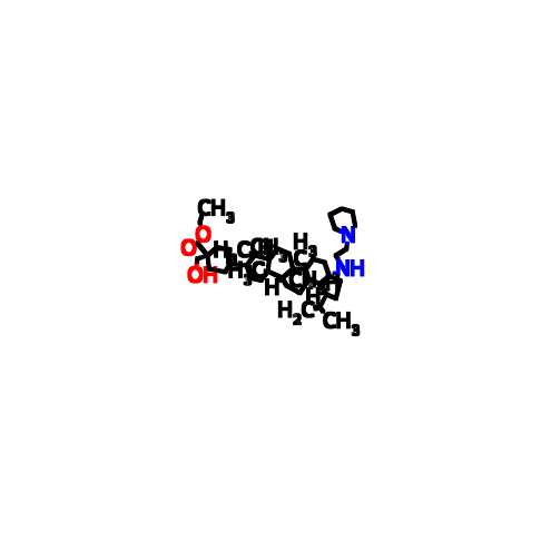 C=C(C)[C@@H]1CC[C@]2(NCCN3CCCCC3)CC[C@]3(C)[C@H](CC[C@@H]4[C@@]5(C)CC=C(C6=CC[C@@](CO)(C(=O)OCC)CC6)C(C)(C)[C@@H]5CC[C@]43C)[C@@H]12